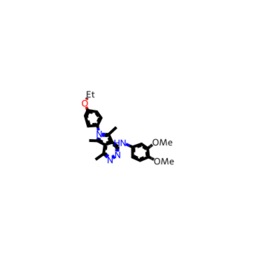 CCOc1ccc(-n2c(C)c3c(C)nnc(Nc4ccc(OC)c(OC)c4)c3c2C)cc1